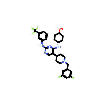 O[C@H]1CC[C@H](Nc2nc(Nc3cccc(C(F)(F)F)c3)ncc2C2CCN(Cc3cc(F)cc(F)c3)CC2)CC1